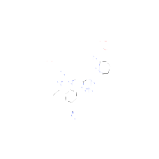 C=C(/N=C(\N=C(/C)c1cn(Cc2cccc(N3CCC[C@@H]3C(=O)O)n2)nn1)NCCOC)c1cccc(C#N)c1